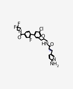 Nc1ccc(/C=C/C(=O)NCC2Cc3cc(-c4ccc(C(=O)N5CC(F)(F)C5)cc4F)cc(Cl)c3O2)cn1